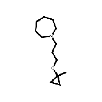 CC1(OCCCN2CCCCCC2)CC1